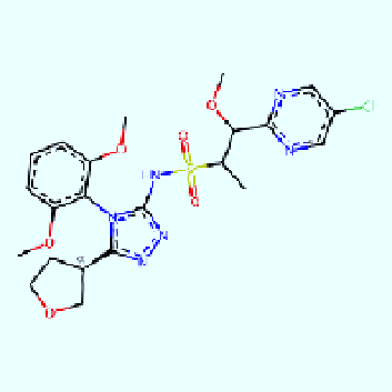 COc1cccc(OC)c1-n1c(NS(=O)(=O)C(C)C(OC)c2ncc(Cl)cn2)nnc1[C@@H]1CCOC1